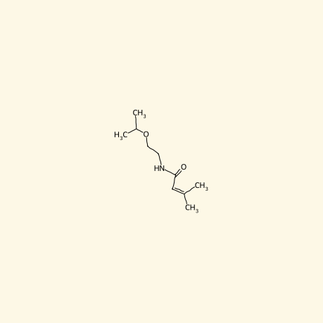 CC(C)=CC(=O)NCCOC(C)C